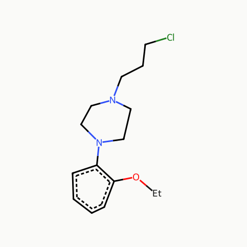 CCOc1ccccc1N1CCN(CCCCl)CC1